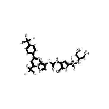 O=C(Nc1cc(S(=O)(=O)NC(CO)CO)sc1Cl)Oc1cnn2c(C(F)(F)F)cc(-c3ccc(C(F)(F)F)cc3)nc12